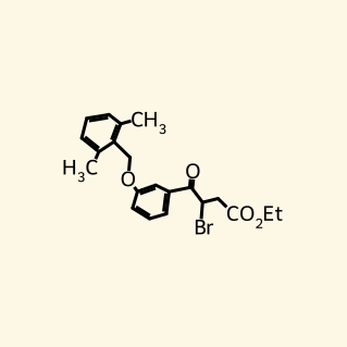 CCOC(=O)CC(Br)C(=O)c1cccc(OCc2c(C)cccc2C)c1